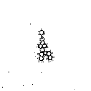 c1ccc(-c2nc3c(s2)-c2cccc4c(-n5c6ccc7ccccc7c6c6c7ccccc7ccc65)ccc-3c24)cc1